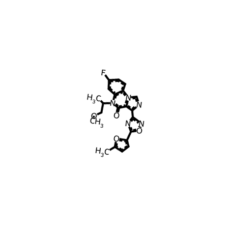 COCC(C)n1c(=O)c2c(-c3noc(-c4ccc(C)o4)n3)ncn2c2ccc(F)cc21